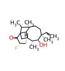 C=C[C@]1(C)CC[C@]2(C)C(C)C34C[C@@](C[C@H](F)C3=O)([C@@H]42)[C@@H](C)[C@@H]1O